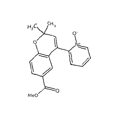 COC(=O)c1ccc2c(c1)C(c1cccc[n+]1[O-])=CC(C)(C)O2